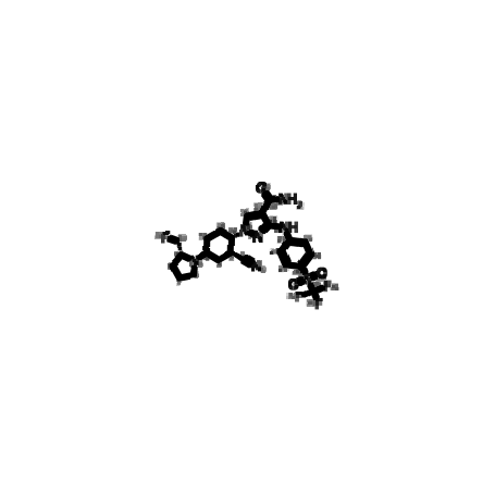 N#C[C@H]1CC(N2CCC[C@@H]2CF)CC[C@@H]1n1cc(C(N)=O)c(Nc2ccc(S(=O)(=O)C(F)(F)F)cc2)n1